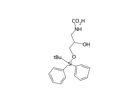 CC(C)(C)[Si](OCC(O)CNC(=O)O)(c1ccccc1)c1ccccc1